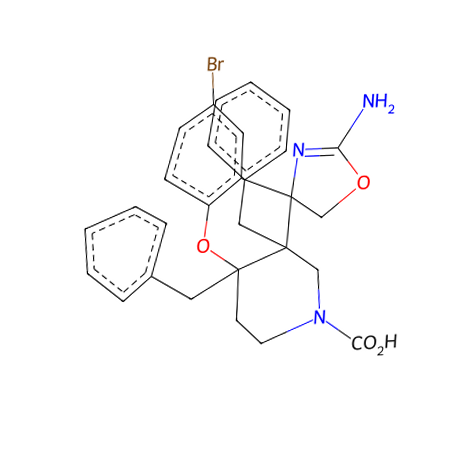 NC1=NC2(CO1)c1cc(Br)ccc1OC1(Cc3ccccc3)CCN(C(=O)O)CC12Cc1ccccc1